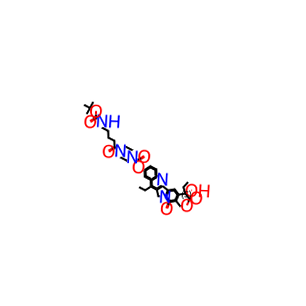 CCc1c2c(nc3ccc(OC(=O)N4CCN(C(=O)CCCCNC(=O)OC(C)(C)C)CC4)cc13)-c1cc3c(c(=O)n1C2)COC(=O)[C@]3(O)CC